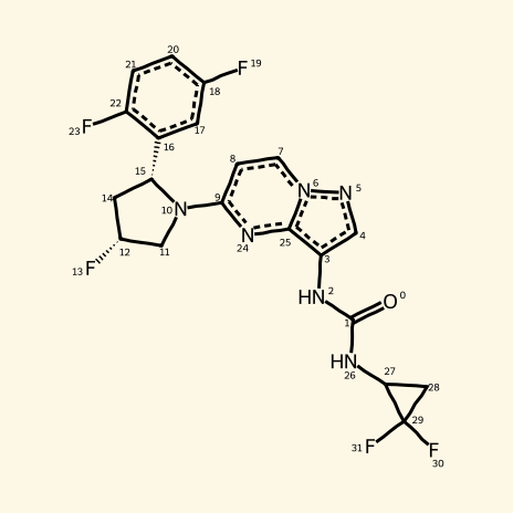 O=C(Nc1cnn2ccc(N3C[C@H](F)C[C@@H]3c3cc(F)ccc3F)nc12)NC1CC1(F)F